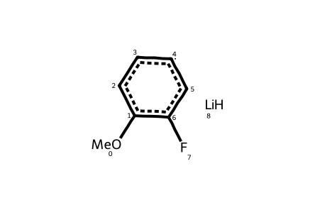 COc1cc[c]cc1F.[LiH]